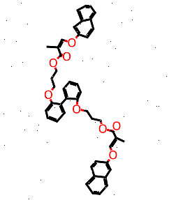 CC(=COc1ccc2ccccc2c1)C(=O)OCCCOc1ccccc1-c1ccccc1OCCCOC(=O)C(C)=COc1ccc2ccccc2c1